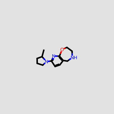 CC1CCCN1c1ccc2c(n1)OCCNC2